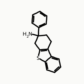 NC1(c2ccccc2)CCc2c(sc3ccccc23)C1